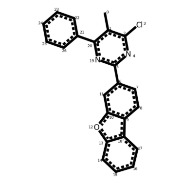 Cc1c(Cl)nc(-c2ccc3c(c2)oc2ccccc23)nc1-c1ccccc1